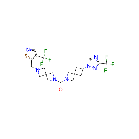 O=C(N1CC2(CC(n3cnc(C(F)(F)F)n3)C2)C1)N1CC2(CN(Cc3sncc3C(F)(F)F)C2)C1